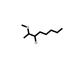 CCCCCC([O])C(C)OC